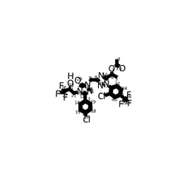 CC(=O)OC(C)c1nc(Cn2nc(-c3ccc(Cl)cc3)n(C[C@H](O)C(F)(F)F)c2=O)nn1-c1ccc(C(F)(F)F)cc1Cl